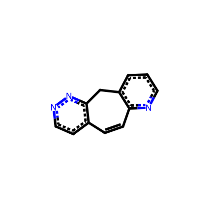 C1=Cc2ncccc2Cc2nnccc21